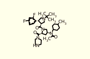 CC(=O)N(C1CCC(C)CC1)[C@H]1C[C@@H](C(=O)N2CCNCC2)N(C(=O)[C@@H]2CN(C(C)(C)C)C[C@H]2c2ccc(F)cc2F)C1